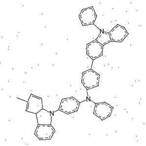 CC1=CC2c3ccccc3N(c3ccc(N(c4ccccc4)c4ccc(-c5ccc6c(c5)c5ccccc5n6-c5ccccc5)cc4)cc3)C2C=C1